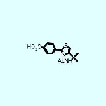 CC(=O)NC(C)(C)c1csc(-c2ccc(C(=O)O)cc2)n1